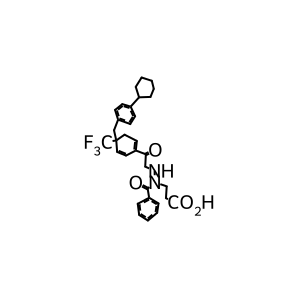 O=C(O)CCN(NCC(=O)C1=CCC(Cc2ccc(C3CCCCC3)cc2)(C(F)(F)F)C=C1)C(=O)c1ccccc1